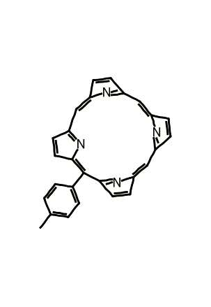 Cc1ccc(C2=C3C=CC(=N3)C=C3C=CC(=N3)C=C3C=CC(=N3)C=C3C=CC2=N3)cc1